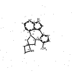 Cc1cnc(-c2c[nH]c3nccc(N4CCC5(CCN5)C4)c23)[nH]1